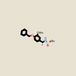 COc1cc([C@@H](C)N[S+]([O-])C(C)(C)C)ccc1OCc1ccccc1